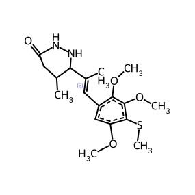 COc1cc(/C=C(\C)C2NNC(=O)CC2C)c(OC)c(OC)c1SC